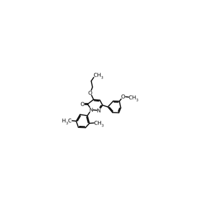 CCCOc1cc(-c2cccc(OC)c2)nn(-c2cc(C)ccc2C)c1=O